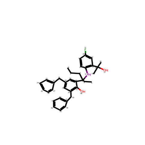 CCCC(CC)(Pc1ccc(F)cc1C(C)(C)O)c1cc(Cc2ccccc2)cc(Cc2ccccc2)c1O